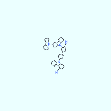 N#Cc1ccc(-c2ccc(-n3c4ccccc4c4c(C#N)cccc43)cc2)cc1-n1c2ccccc2c2cc(-n3c4ccccc4c4ccccc43)ccc21